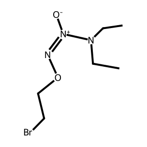 CCN(CC)/[N+]([O-])=N\OCCBr